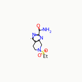 CCS(=O)(=O)N1CCc2[c]nc(C(N)=O)nc2C1